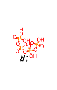 O=P(O)(O)OP(=O)(O)OP(=O)(O)OP(=O)(O)O.[Mn].[Mn]